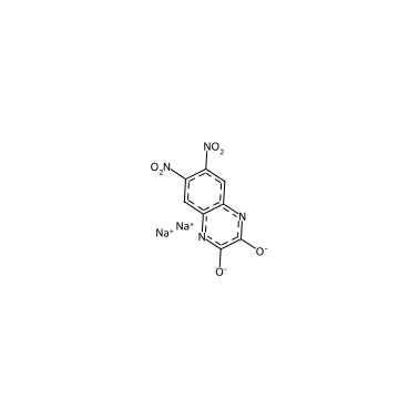 O=[N+]([O-])c1cc2nc([O-])c([O-])nc2cc1[N+](=O)[O-].[Na+].[Na+]